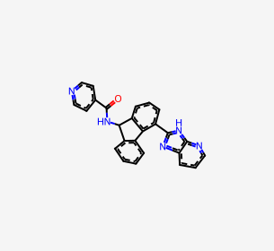 O=C(NC1c2ccccc2-c2c(-c3nc4cccnc4[nH]3)cccc21)c1ccncc1